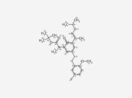 COc1ccc(F)cc1CCc1cc(/C(C)=N/OC(C)C)c(=O)n(N(C)C(=O)OC(C)(C)C)n1